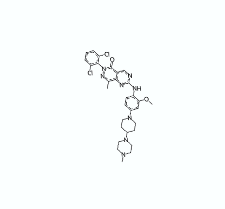 COc1cc(N2CCC(N3CCN(C)CC3)CC2)ccc1Nc1ncc2c(=O)n(-c3c(Cl)cccc3Cl)nc(C)c2n1